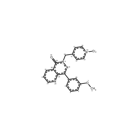 COc1cccc(-c2nn(Cc3cc[n+]([O-])cc3)c(=O)c3cccnc23)c1